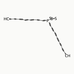 C#CC#CC#CC#CC#CC#CC#CP(C#CC#CC#CC#CC#CC#CC#C)SB=S